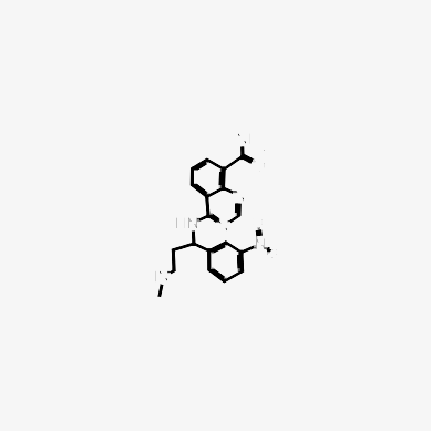 CNCCC(Nc1ncnc2c(C(N)=O)cccc12)c1cccc([N+](=O)[O-])c1